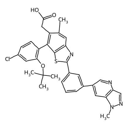 Cc1cc2nc(-c3cccc(-c4cnc5cnn(C)c5c4)c3)sc2c(-c2ccc(Cl)cc2OC(C)(C)C)c1CC(=O)O